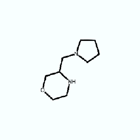 C1CCN(CC2COCCN2)C1